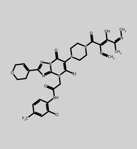 C=N/C(C(=O)N1CCN(c2c(CC)n(CC(=O)Nc3ccc(C(F)(F)F)cc3Cl)c3nc(C4=CCOCC4)nn3c2=O)CC1)=C(O)\C(C)=N/C